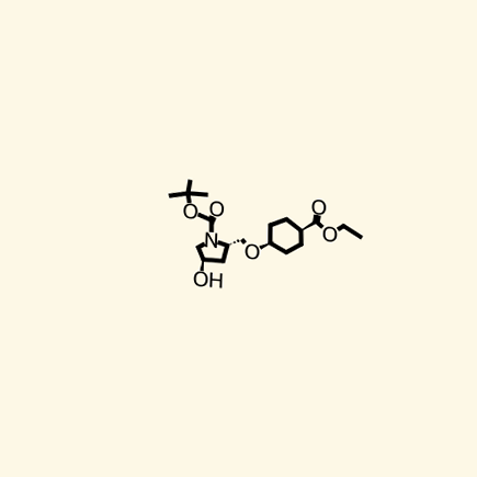 CCOC(=O)[C@H]1CC[C@@H](OC[C@@H]2C[C@@H](O)CN2C(=O)OC(C)(C)C)CC1